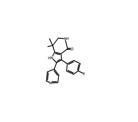 CC1(C)CNC(=O)c2c1[nH]c(-c1ccncc1)c2-c1ccc(F)cc1